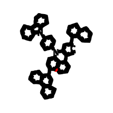 c1ccc(-c2ccc(-c3cccc4ccccc34)cc2N(c2ccc(-c3cc4ccccc4c4ccccc34)cc2)c2ccc(-n3c4ccccc4c4ccccc43)cc2)cc1